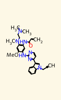 C#CCn1cc(-c2ccnc(Nc3cc(NC(=O)C=C)c(N(C)CCN(C)C)cc3OC)n2)c2ccccc21